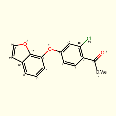 COC(=O)c1ccc(Oc2cccc3ccoc23)cc1Cl